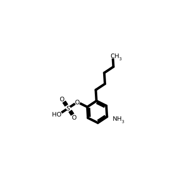 CCCCCc1ccccc1OS(=O)(=O)O.N